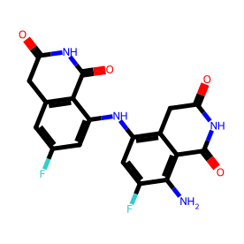 Nc1c(F)cc(Nc2cc(F)cc3c2C(=O)NC(=O)C3)c2c1C(=O)NC(=O)C2